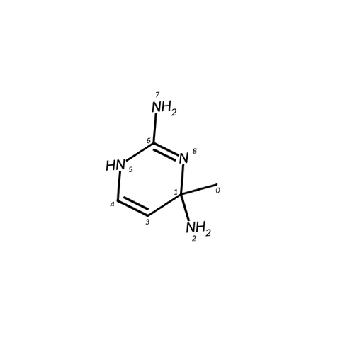 CC1(N)C=CNC(N)=N1